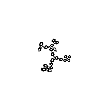 N=C1C(c2ccc(-n3c4ccc(-c5ccc(-c6ccc7c(c6)C(c6ccccc6)(c6ccccc6)c6ccccc6-7)cc5)cc4c4cc(-c5ccc(-c6ccc7c(c6)C(c6ccccc6)(c6ccccc6)c6ccccc6-7)cc5)ccc43)cc2)=CC=C(N(c2ccc(-n3c4ccccc4c4ccccc43)cc2)c2ccc(-n3c4ccccc4c4ccccc43)cc2)/C1=N/S